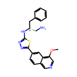 COc1cncc2ccc(-c3nnc(N[C@@H](CN)Cc4ccccc4)s3)cc12